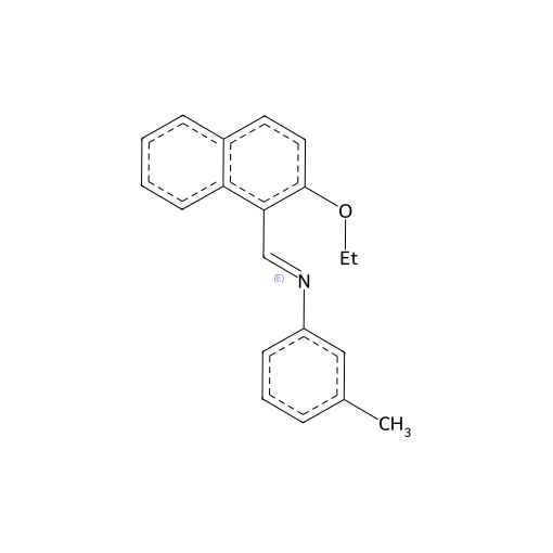 CCOc1ccc2ccccc2c1/C=N/c1cccc(C)c1